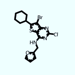 Clc1nc(NCc2ccco2)c2sc(C3CCCCC3)c(Br)c2n1